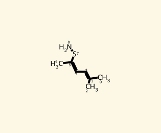 CC(C)=C/C=C(/C)SN